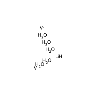 O.O.O.O.O.[LiH].[V].[V]